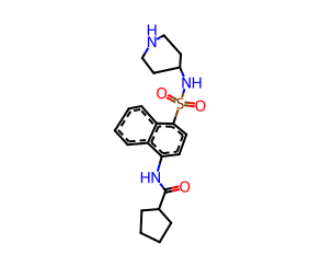 O=C(Nc1ccc(S(=O)(=O)NC2CCNCC2)c2ccccc12)C1CCCC1